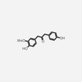 COc1cc(CC(=O)Cc2ccc(O)cc2)ccc1O